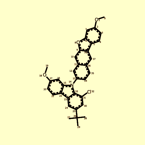 COc1ccc2c(c1)oc1cc3cc(-n4c5cc(OC)ccc5c5cc(C(C)(C)C)cc(Cl)c54)ccc3cc12